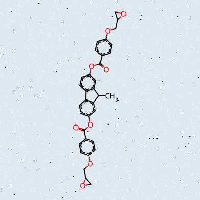 CC1c2cc(OC(=O)c3ccc(OCC4CO4)cc3)ccc2-c2ccc(OC(=O)c3ccc(OCC4CO4)cc3)cc21